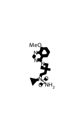 COc1cccc2c(N3CC(C)(CCN(C4CC4)S(N)(=O)=O)C3)ncnc12